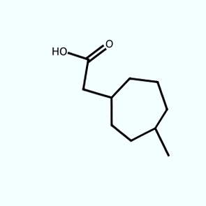 CC1CCCC(CC(=O)O)CC1